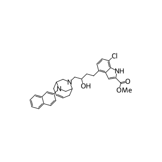 COC(=O)c1cc2c(CCC(O)CN3CC4CC=CCC3CN4c3ccc4ccccc4c3)ccc(Cl)c2[nH]1